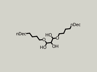 CCCCCCCCCCCCCCOC(O)C(O)C(O)OCCCCCCCCCCCCCC